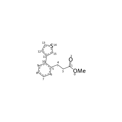 COC(=O)C[CH]c1ccccc1-c1ccsc1